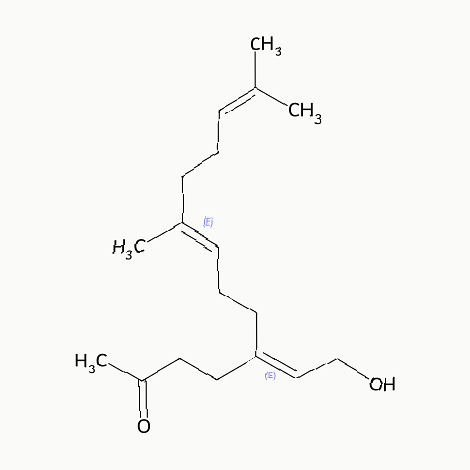 CC(=O)CC/C(=C/CO)CC/C=C(\C)CCC=C(C)C